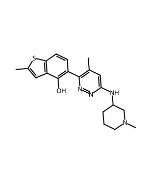 Cc1cc2c(O)c(-c3nnc(NC4CCCN(C)C4)cc3C)ccc2s1